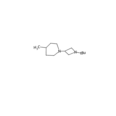 CC1CCN(C2CN(C(C)(C)C)C2)CC1